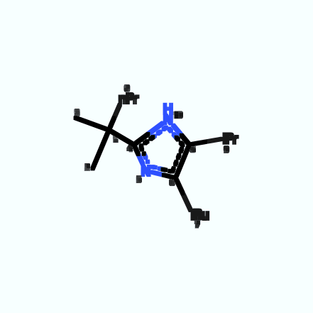 CCCC(C)(C)c1nc(C(C)CC)c(C(C)C)[nH]1